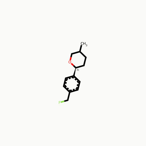 CC1CC[C@@H](c2ccc(CF)cc2)OC1